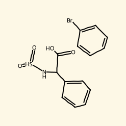 Brc1ccccc1.O=C(O)C(N[SH](=O)=O)c1ccccc1